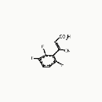 N#CC(=CC(=O)O)c1c(F)ccc(F)c1F